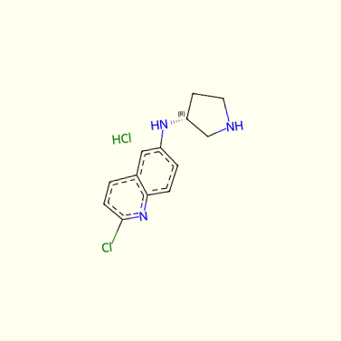 Cl.Clc1ccc2cc(N[C@@H]3CCNC3)ccc2n1